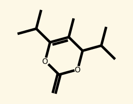 C=C1OC(C(C)C)=C(C)C(C(C)C)O1